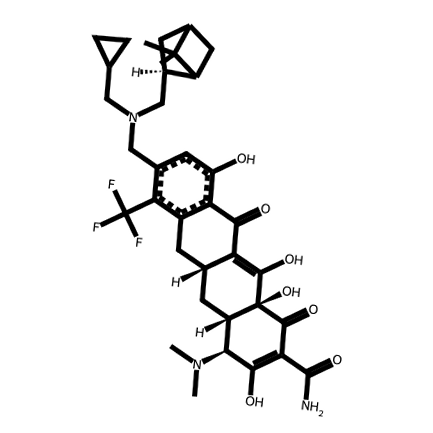 CN(C)[C@@H]1C(O)=C(C(N)=O)C(=O)[C@@]2(O)C(O)=C3C(=O)c4c(O)cc(CN(CC5CC5)C[C@H]5CC6CC5C6(C)C)c(C(F)(F)F)c4C[C@H]3C[C@@H]12